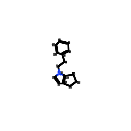 c1ccc(CCn2ccc3c2CCC3)cc1